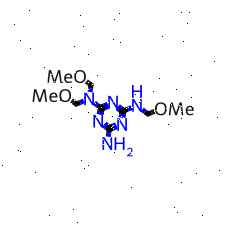 COCNc1nc(N)nc(N(COC)COC)n1